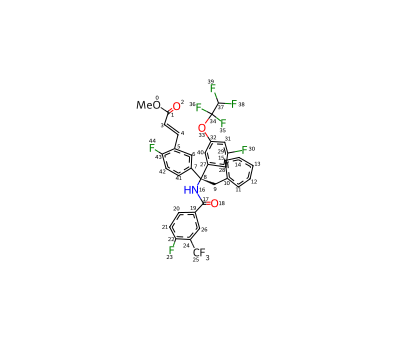 COC(=O)/C=C/c1cc([C@@](Cc2ccccc2)(NC(=O)c2ccc(F)c(C(F)(F)F)c2)c2cc(F)cc(OC(F)(F)C(F)F)c2)ccc1F